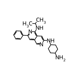 CC(C)Nc1nc(-c2ccccc2)cc2cnc(NC3CCC(N)CC3)cc12